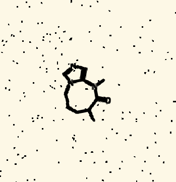 CC1CCCn2cncc2N(C)C1=O